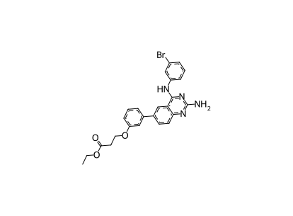 CCOC(=O)CCOc1cccc(-c2ccc3nc(N)nc(Nc4cccc(Br)c4)c3c2)c1